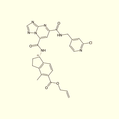 C=CCOC(=O)c1ccc2c(c1C)CC[C@@H]2NC(=O)c1cc(C(=O)NCc2ccnc(Cl)c2)nc2ncnn12